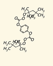 CC(C)(C)CC(C)(C)OOC(=O)Oc1ccc(OC(=O)OOC(C)(C)CC(C)(C)C)cc1